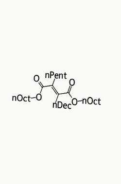 CCCCCCCCCCC(C(=O)OCCCCCCCC)=C(CCCCC)C(=O)OCCCCCCCC